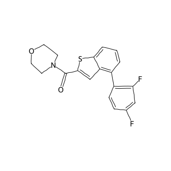 O=C(c1cc2c(-c3ccc(F)cc3F)cccc2s1)N1CCOCC1